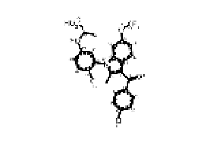 Cc1c(C(=O)c2ccc(Cl)cc2)c2ccc(OC(F)(F)F)cc2n1-c1cc(O[C@H](C)C(=O)O)ccc1Cl